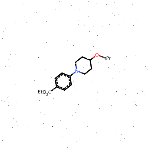 CCCOC1CCN(c2ccc(C(=O)OCC)cc2)CC1